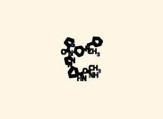 CC(=N)OC(=N)c1cccc(-n2ccc(N(C(=O)c3cccs3)[C@H]3CC[C@H](N(C)Cc4ccccc4)CC3)n2)c1